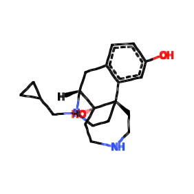 Oc1ccc2c(c1)[C@@]13CCNCC[C@@]1(O)[C@@H](C2)N(CC1CC1)CC3